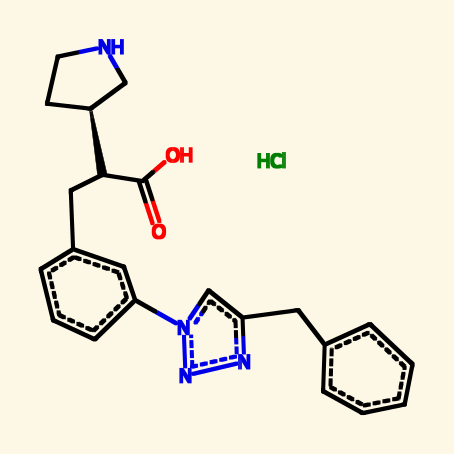 Cl.O=C(O)C(Cc1cccc(-n2cc(Cc3ccccc3)nn2)c1)[C@H]1CCNC1